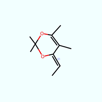 C/C=C1\OC(C)(C)OC(C)=C1C